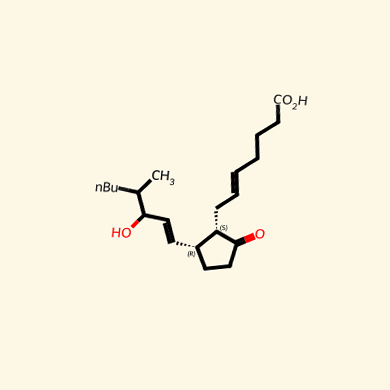 CCCCC(C)C(O)C=C[C@H]1CCC(=O)[C@H]1CC=CCCCC(=O)O